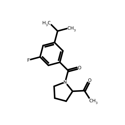 CC(=O)C1CCCN1C(=O)c1cc(F)cc(C(C)C)c1